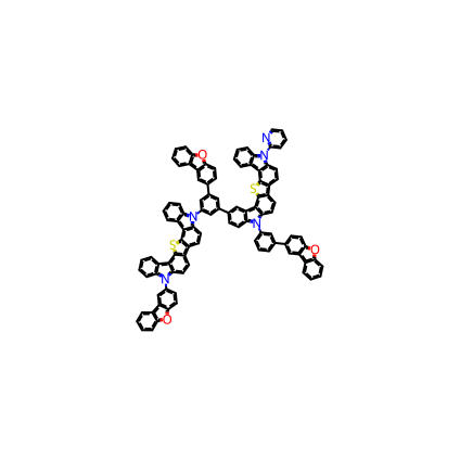 c1ccc(-n2c3ccccc3c3c4sc5c(ccc6c5c5cc(-c7cc(-c8ccc9oc%10ccccc%10c9c8)cc(-n8c9ccccc9c9c%10sc%11c(ccc%12c%11c%11ccccc%11n%12-c%11ccc%12oc%13ccccc%13c%12c%11)c%10ccc98)c7)ccc5n6-c5cccc(-c6ccc7oc8ccccc8c7c6)c5)c4ccc32)nc1